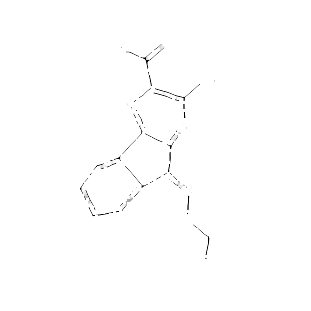 N#Cc1nc2c(nc1C(N)=O)-c1ccccc1/C2=N\OCC(=O)O